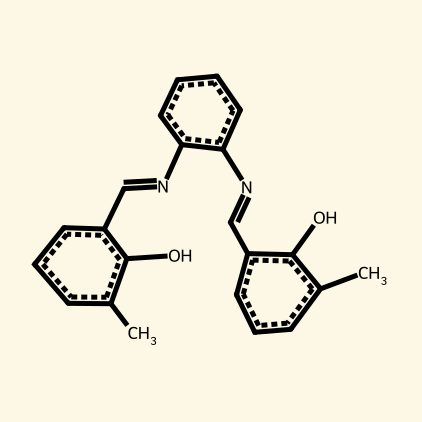 Cc1cccc(C=Nc2ccccc2N=Cc2cccc(C)c2O)c1O